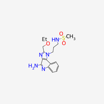 CCOCc1nc2c(N)nc3ccccc3c2n1CCCNS(C)(=O)=O